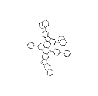 c1ccc(-c2ccc(N3B4c5c(cc(-c6ccccc6)cc5-n5c6ccc(C78CCCC(CCC7)C8)cc6c6cc(C78CCCC(CCC7)C8)cc4c65)-c4cc5oc6cc7ccccc7cc6c5cc43)cc2)cc1